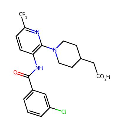 O=C(O)CC1CCN(c2nc(C(F)(F)F)ccc2NC(=O)c2cccc(Cl)c2)CC1